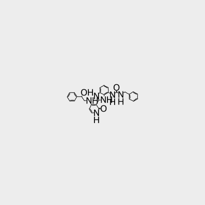 O=C(NCc1ccccc1)Nc1cccc2nc(-c3c(NCC(O)c4ccccc4)cc[nH]c3=O)[nH]c12